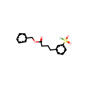 O=C(CCCc1cccc(S(=O)(=O)Cl)c1)OCc1ccccc1